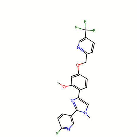 COc1cc(OCc2ccc(C(F)(F)F)cn2)ccc1-c1cn(C)c(-c2ccc(F)nc2)n1